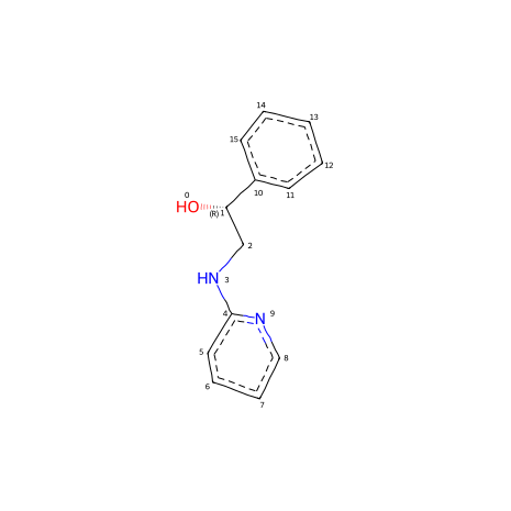 O[C@@H](CNc1ccccn1)c1ccccc1